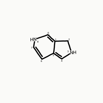 [C]1=C2CNC=C2C=CN1